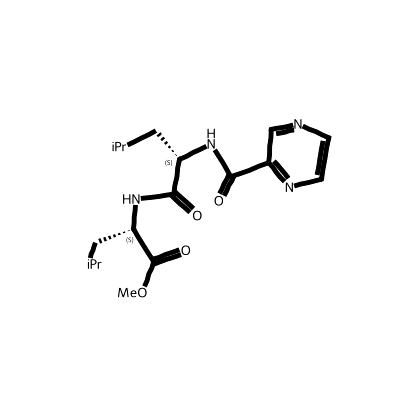 COC(=O)[C@H](CC(C)C)NC(=O)[C@H](CC(C)C)NC(=O)c1cnccn1